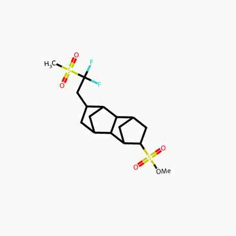 COS(=O)(=O)C1CC2CC1C1C3CC(CC(F)(F)S(C)(=O)=O)C(C3)C21